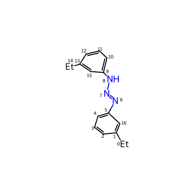 CCc1cccc(/N=N/Nc2cccc(CC)c2)c1